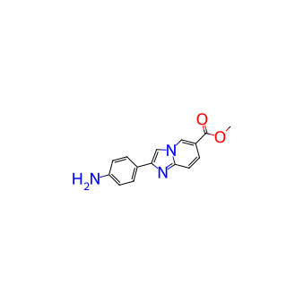 COC(=O)c1ccc2nc(-c3ccc(N)cc3)cn2c1